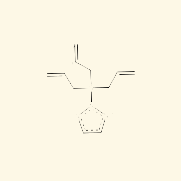 C=CC[Si](CC=C)(CC=C)n1nccn1